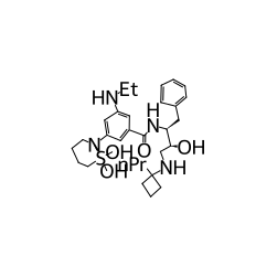 CCCC1(NC[C@H](O)[C@H](Cc2ccccc2)NC(=O)c2cc(NCC)cc(N3CCCCS3(O)O)c2)CCC1